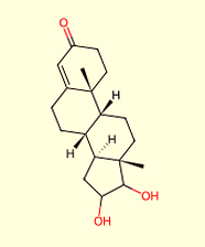 C[C@]12CCC(=O)C=C1CC[C@@H]1[C@H]2CC[C@]2(C)C(O)C(O)C[C@@H]12